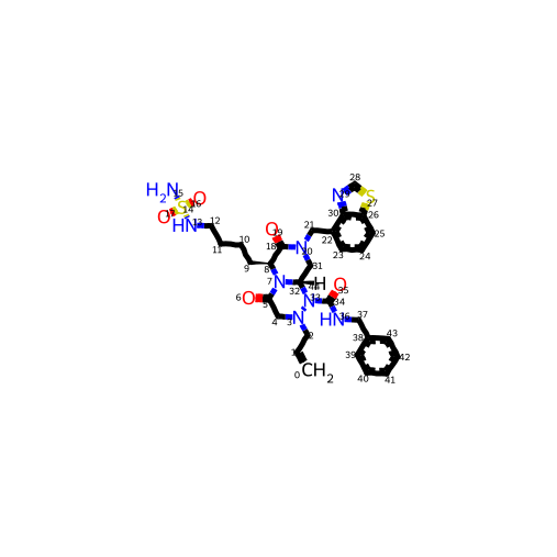 C=CCN1CC(=O)N2[C@@H](CCCCNS(N)(=O)=O)C(=O)N(Cc3cccc4scnc34)C[C@@H]2N1C(=O)NCc1ccccc1